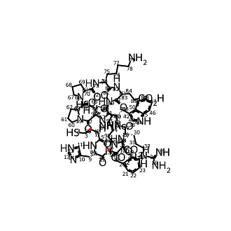 CC(=O)N[C@@H](CCS)C(=O)N[C@@H](Cc1c[nH]cn1)C(=O)N[C@H](Cc1ccccc1)C(=O)N[C@@H](CCCNC(=N)N)C(=O)N[C@@H](Cc1c[nH]c2ccccc12)C(=O)N[C@@H](CS)C(=O)N1CCC[C@H]1C(=O)N1CCC[C@H]1C(=O)N[C@@H](CCCCN)C(=O)N[C@@H](CCC(=O)O)C(=O)N[C@H](C)CCCCN(CC(=O)O)CC(=O)O